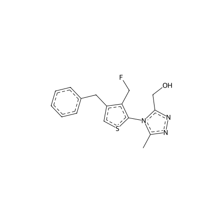 Cc1nnc(CO)n1-c1scc(Cc2ccccc2)c1CF